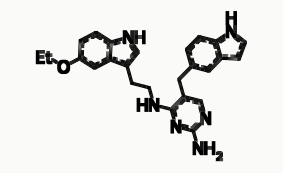 CCOc1ccc2[nH]cc(CCNc3nc(N)ncc3Cc3ccc4[nH]ccc4c3)c2c1